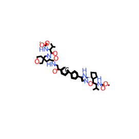 COC(=O)N[C@H](C(=O)C1CCC[C@H]1c1ncc(-c2ccc(-c3ccc(C(=O)CNC(=O)C4CC5(CCOCC5)CN4C(=O)[C@@H](NC(=O)OC)C(C)C)cc3)cc2)[nH]1)C(C)C